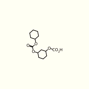 O=C(O)OC1CCCC(OC(=O)OC2CCCCC2)C1